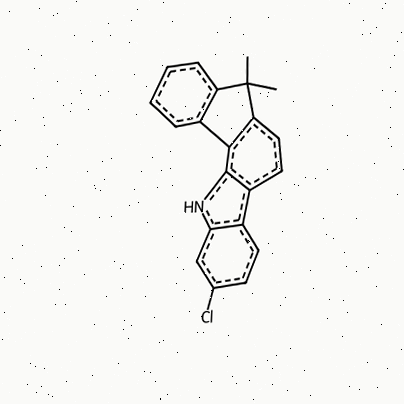 CC1(C)c2ccccc2-c2c1ccc1c2[nH]c2cc(Cl)ccc21